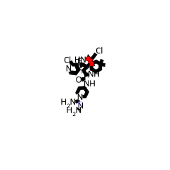 CC1(C)CCC2(CC1)N[C@@H](C(=O)NC1CCN(/C(N)=N/N)CC1)[C@H](c1ccnc(Cl)c1F)[C@]21C(=O)Nc2cc(Cl)ccc21